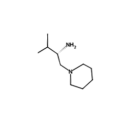 CC(C)[C@H](N)CN1CCCCC1